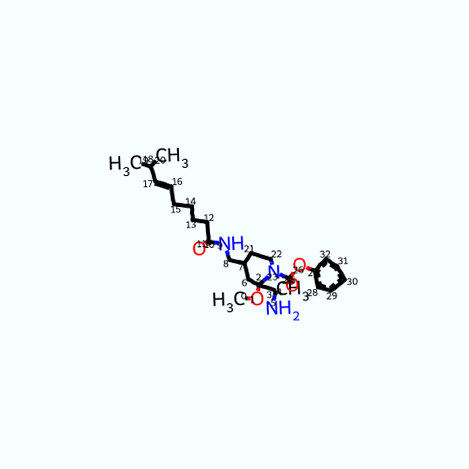 COC1(C(C)N)CC(CNC(=O)CCCCC=CC(C)C)CCN1C(=O)Oc1ccccc1